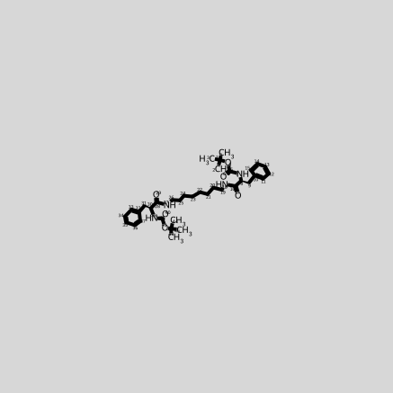 CC(C)(C)OC(=O)N[C@@H](Cc1ccccc1)C(=O)NCCCCCCCCNC(=O)[C@H](Cc1ccccc1)NC(=O)OC(C)(C)C